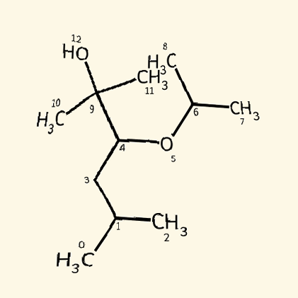 CC(C)CC(OC(C)C)C(C)(C)O